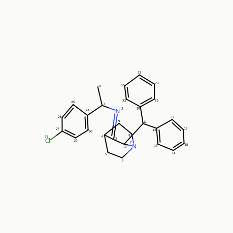 CC(N=C1C2CCN(CC2)C1C(c1ccccc1)c1ccccc1)c1ccc(Cl)cc1